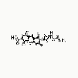 Cn1cc(C(=O)O)c(=O)c2cc3cc(F)c(N4CC(NCCN)C4)c(F)c3nc21